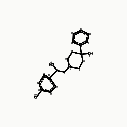 O[C@@H](CN1CCC(O)(c2ccccc2)CC1)c1ccc(Cl)cc1